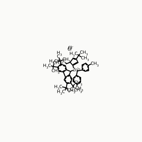 CCC1C=C(C(C)(C)C)C=[C]1[Zr+2](=[C](c1ccc(C)cc1)c1ccc(C)cc1)[CH]1c2cc(C(C)(C)C)c(C(C)(C)C)cc2-c2cc(C(C)(C)C)c(C(C)(C)C)cc21.[Cl-].[Cl-]